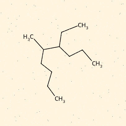 CCCCC(C)C(CC)CCC